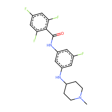 CN1CCC(Nc2cc(F)cc(NC(=O)c3c(F)cc(F)cc3F)c2)CC1